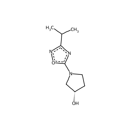 CC(C)c1noc(N2CC[C@H](O)C2)n1